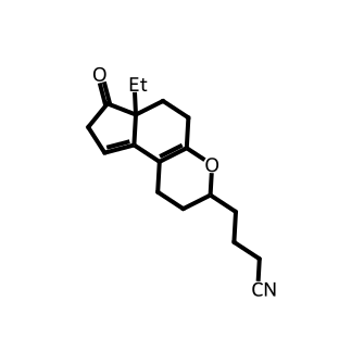 CCC12CCC3=C(CCC(CCCC#N)O3)C1=CCC2=O